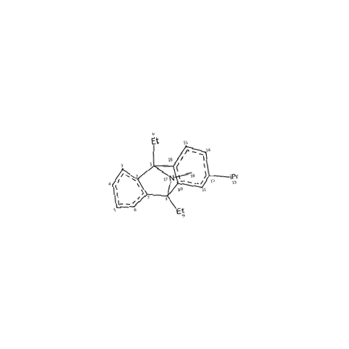 CCC12c3ccccc3C(CC)(c3cc(C(C)C)ccc31)N2C